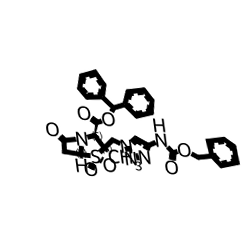 C[C@]1(Cn2cc(NC(=O)OCc3ccccc3)nn2)[C@H](C(=O)OC(c2ccccc2)c2ccccc2)N2C(=O)C[C@H]2S1(=O)=O